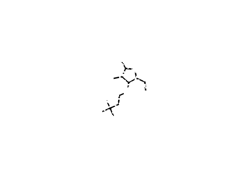 CCC1OC(C)C(C)C1OCCC(C)(C)C